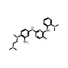 CN(C)CCN(C)c1ccc(Nc2ncc(F)c(Nc3ccccc3P(C)C)n2)cc1N